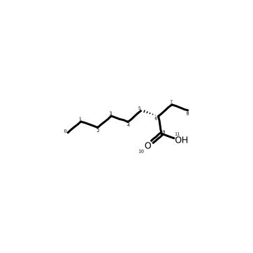 CCCCCC[C@H](CC)C(=O)O